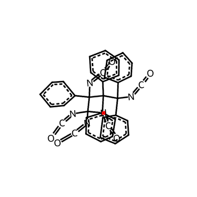 O=C=NC(N=C=O)(N=C=O)C(N=C=O)(c1ccccc1)C(c1ccccc1)(c1ccccc1)C(N=C=O)(c1ccccc1)c1ccccc1